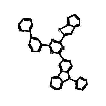 c1ccc(-c2cccc(-c3nc(-c4ccc5c(c4)c4ccccc4n5-c4ccccc4)nc(-c4cc5ccccc5s4)n3)c2)cc1